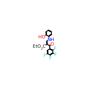 CCOC(=O)C(=CNc1ccccc1O)C(=O)c1cc(F)c(F)c(F)c1F